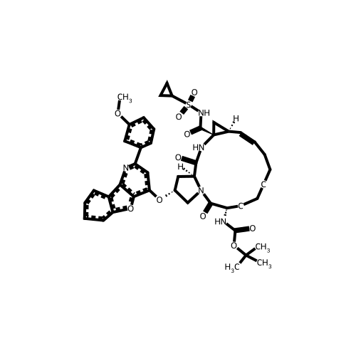 COc1cccc(-c2cc(O[C@@H]3C[C@H]4C(=O)N[C@]5(C(=O)NS(=O)(=O)C6CC6)C[C@H]5/C=C\CCCCC[C@H](NC(=O)OC(C)(C)C)C(=O)N4C3)c3oc4ccccc4c3n2)c1